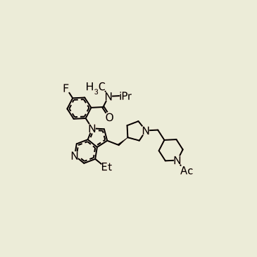 CCc1cncc2c1c(C[C@H]1CCN(CC3CCN(C(C)=O)CC3)C1)cn2-c1ccc(F)cc1C(=O)N(C)C(C)C